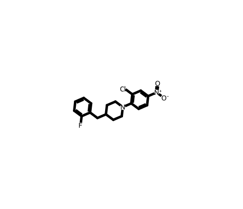 O=[N+]([O-])c1ccc(N2CCC(Cc3ccccc3F)CC2)c(Cl)c1